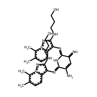 Cc1ccc2c(/N=C3\N/C(=N\c4c(NCCCO)nn5c(C)c(C)ccc45)C(N)=CC3=N)c(NCCCO)nn2c1C